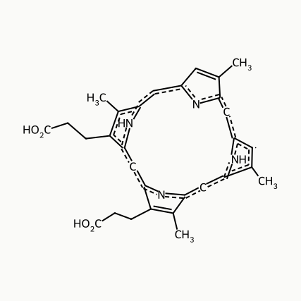 CC1=Cc2cc3[nH]c(cc4nc(cc5[nH]c([c]c5C)cc1n2)C(C)=C4CCC(=O)O)c(CCC(=O)O)c3C